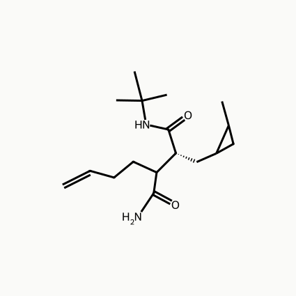 C=CCCC(C(N)=O)[C@@H](CC1CC1C)C(=O)NC(C)(C)C